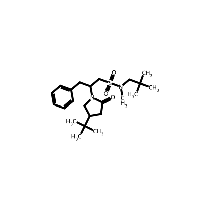 CN(CC(C)(C)C)S(=O)(=O)CC(Cc1ccccc1)N1CC(C(C)(C)C)CC1=O